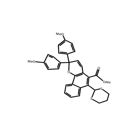 COC(=O)c1c2c(c3ccccc3c1C1SCCCS1)OC(c1ccc(OC)cc1)(c1ccc(OC)cc1)C=C2